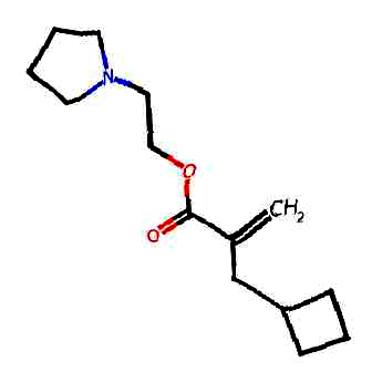 C=C(CC1CCC1)C(=O)OCCN1CCCC1